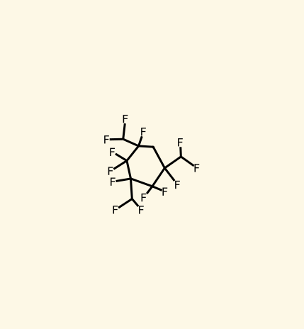 FC(F)C1(F)CC(F)(C(F)F)C(F)(F)C(F)(C(F)F)C1(F)F